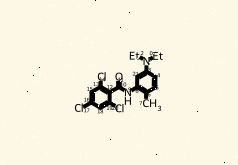 CCN(CC)c1ccc(C)c(NC(=O)c2c(Cl)cc(Cl)cc2Cl)c1